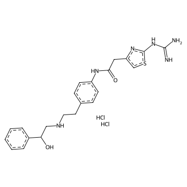 Cl.Cl.N=C(N)Nc1nc(CC(=O)Nc2ccc(CCNCC(O)c3ccccc3)cc2)cs1